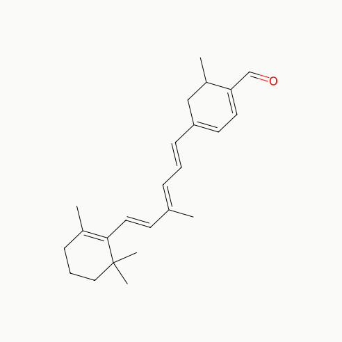 CC(C=CC1=C(C)CCCC1(C)C)=CC=CC1=CC=C(C=O)C(C)C1